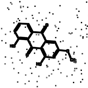 COc1cc(O)c2c(c1)C(=O)c1cccc(O)c1C2=O